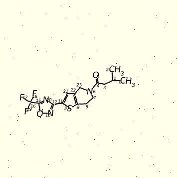 CC(C)CC(=O)N1CCc2sc(-c3noc(C(F)(F)F)n3)cc2C1